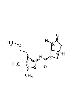 COCCn1c(C)c(C)sc1=NC(=O)[C@@]12C[C@@H]3CC(=O)[C@@H]1C32